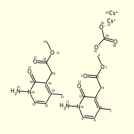 COC(=O)Cc1c(C)ccn(N)c1=O.COC(=O)Cc1c(C)ccn(N)c1=O.O=C([O-])[O-].[Cs+].[Cs+]